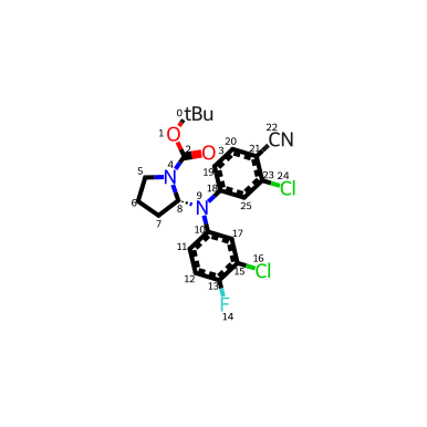 CC(C)(C)OC(=O)N1CCC[C@H]1N(c1ccc(F)c(Cl)c1)c1ccc(C#N)c(Cl)c1